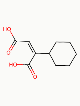 O=C(O)C=C(C(=O)O)C1CCCCC1